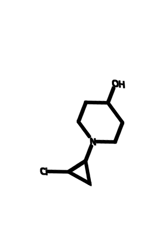 OC1CCN(C2CC2Cl)CC1